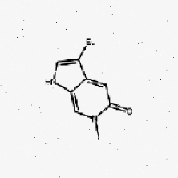 CCc1c[nH]c2cn(C)c(=O)cc12